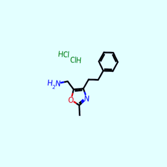 Cc1nc(CCc2ccccc2)c(CN)o1.Cl.Cl